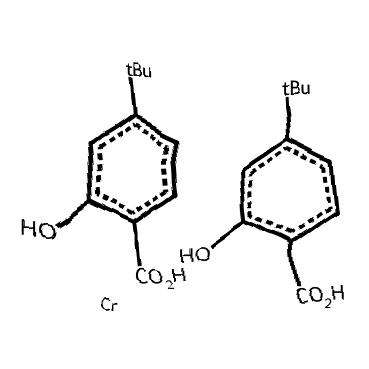 CC(C)(C)c1ccc(C(=O)O)c(O)c1.CC(C)(C)c1ccc(C(=O)O)c(O)c1.[Cr]